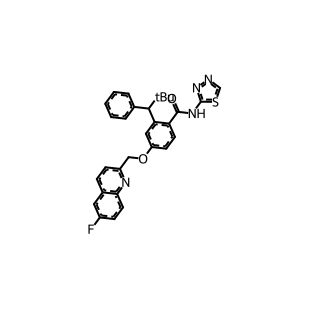 CC(C)(C)C(c1ccccc1)c1cc(OCc2ccc3cc(F)ccc3n2)ccc1C(=O)Nc1nncs1